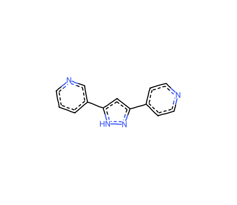 c1cncc(-c2cc(-c3ccncc3)n[nH]2)c1